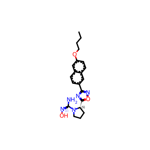 CCCCOc1ccc2cc(-c3noc([C@@H]4CCCN4/C(N)=N\O)n3)ccc2c1